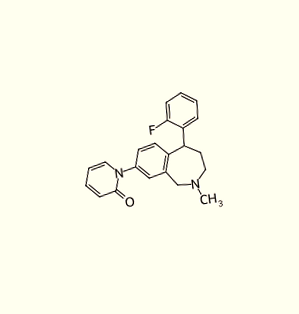 CN1CCC(c2ccccc2F)c2ccc(-n3ccccc3=O)cc2C1